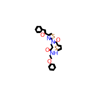 O=C(CCN(C(=O)c1cccs1)c1nc(-c2cc3ccccc3o2)cs1)NCCOc1ccccc1